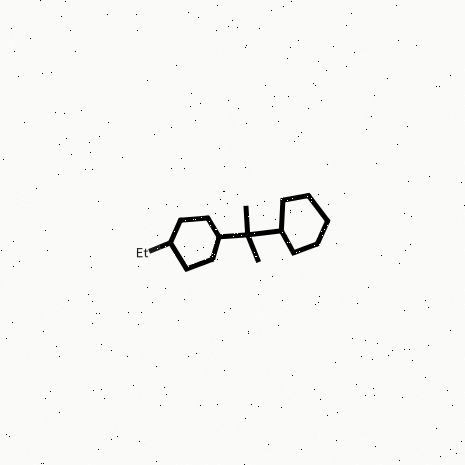 CCC1CCC(C(C)(C)C2CCCCC2)CC1